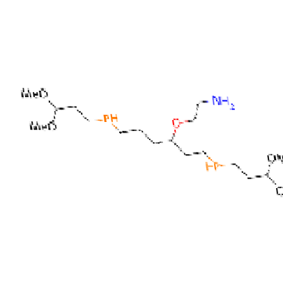 COC(CCPCCCC(CCPCCC(OC)OC)OCCN)OC